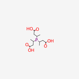 CC(CC(=O)O)P(C(C)CC(=O)O)C(C)CC(=O)O